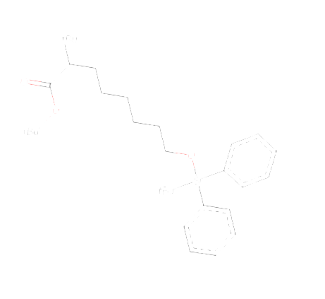 CC(C)(C)OC(=O)C(CCCCCCO[Si](c1ccccc1)(c1ccccc1)C(C)(C)C)C(C)(C)C